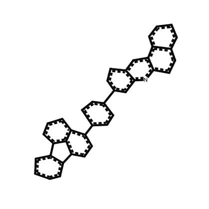 c1ccc2c(c1)-c1cccc3c(-c4ccc(-c5ccc6cc7c(ccc8ccccc87)nc6c5)cc4)ccc-2c13